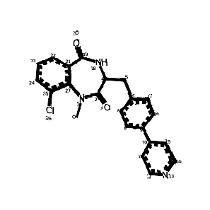 CN1C(=O)C(Cc2ccc(-c3ccncc3)cc2)NC(=O)c2cccc(Cl)c21